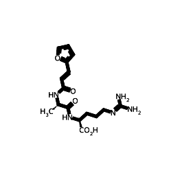 C[C@H](NC(=O)/C=C/c1ccco1)C(=O)N[C@@H](CCCN=C(N)N)C(=O)O